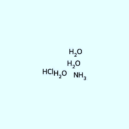 Cl.N.O.O.O